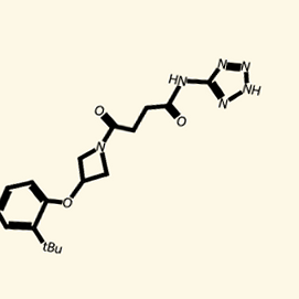 CC(C)(C)c1ccccc1OC1CN(C(=O)CCC(=O)Nc2nn[nH]n2)C1